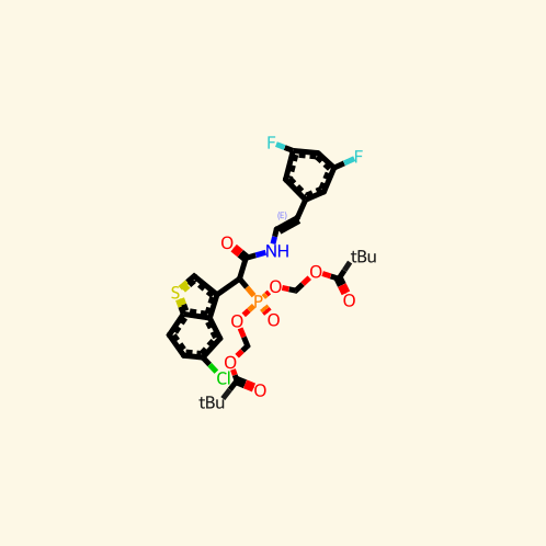 CC(C)(C)C(=O)OCOP(=O)(OCOC(=O)C(C)(C)C)C(C(=O)N/C=C/c1cc(F)cc(F)c1)c1csc2ccc(Cl)cc12